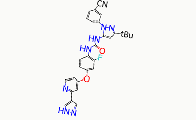 CC(C)(C)c1cc(NC(=O)Nc2ccc(Oc3ccnc(-c4cn[nH]c4)c3)cc2F)n(-c2cccc(C#N)c2)n1